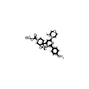 C[C@H]1COCCN1c1cc(C2(S(C)(=O)=O)CCN(C(=O)OC(C)(C)C)CC2)nc(-c2ccc(N)cc2)n1